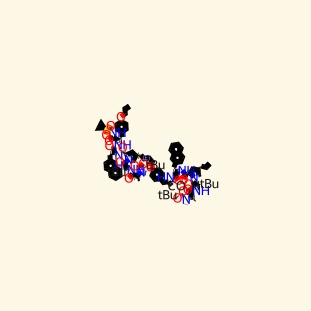 C=CCOc1ccc(C[C@H](NC(=O)[C@H](Cc2ccc3ccccc3c2)NC(=O)[C@@H]2C[C@H](C/C=C/COc3ccc(CC(NC(=O)[C@H](Cc4ccc5ccccc5c4)NC(=O)[C@@H]4C[C@H](CC=C)CN4C(=O)[C@@H](NC(=O)[C@H](C)N(C)C(=O)OC(C)(C)C)C(C)(C)C)C(=O)O)cc3)CN2C(=O)[C@@H](NC(=O)[C@H](C)N(C)C(=O)OC(C)(C)C)C(C)(C)C)C(=O)NS(=O)(=O)C2CC2)cc1